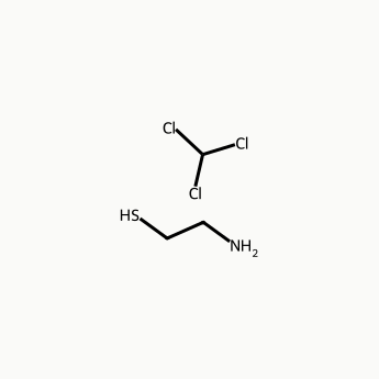 ClC(Cl)Cl.NCCS